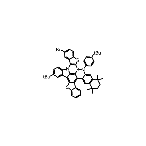 CC(C)(C)c1ccc(N2B3c4sc5ccc(C(C)(C)C)cc5c4-n4c5ccc(C(C)(C)C)cc5c5c6sc7ccccc7c6c(c3c54)-c3cc4c(cc32)C(C)(C)CCC4(C)C)cc1